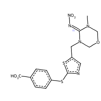 CN1COCN(Cc2cnc(Sc3ccc(C(=O)O)cc3)s2)/C1=N/[N+](=O)[O-]